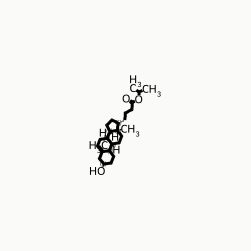 CC(C)OC(=O)CCC[C@H]1CC[C@H]2[C@@H]3CC=C4C[C@@H](O)CC[C@]4(C)[C@H]3CC[C@]12C